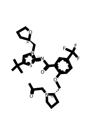 CC(=O)CN1CCC[C@H]1COc1ccc(C(F)(F)F)cc1C(=O)/N=c1\sc(C(C)(C)C)cn1C[C@H]1CCCO1